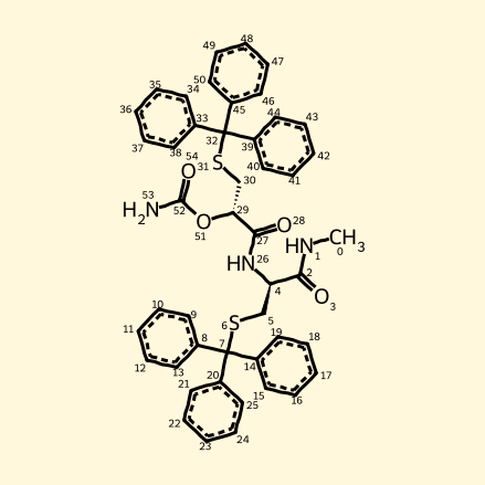 CNC(=O)[C@@H](CSC(c1ccccc1)(c1ccccc1)c1ccccc1)NC(=O)[C@@H](CSC(c1ccccc1)(c1ccccc1)c1ccccc1)OC(N)=O